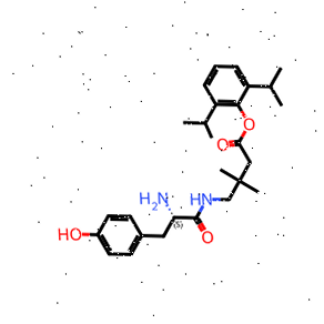 CC(C)c1cccc(C(C)C)c1OC(=O)CC(C)(C)CNC(=O)[C@@H](N)Cc1ccc(O)cc1